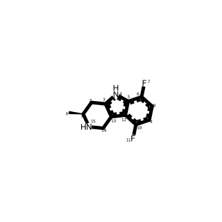 C[C@H]1Cc2[nH]c3c(F)ccc(F)c3c2CN1